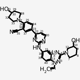 C=CN(/N=C(\N)N1CCCC(O)C1)c1ccc(Nc2nccc(-c3ccc(N4CCC(O)CC4)c(C#N)c3)n2)cc1